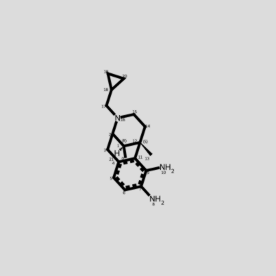 C[C@H]1C2Cc3ccc(N)c(N)c3[C@@]1(C)CCN2CC1CC1